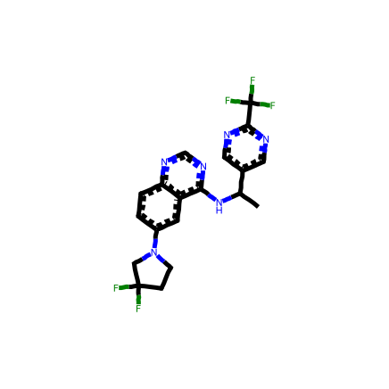 CC(Nc1ncnc2ccc(N3CCC(F)(F)C3)cc12)c1cnc(C(F)(F)F)nc1